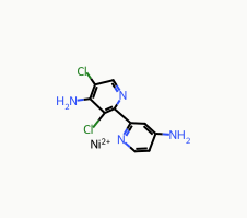 Nc1ccnc(-c2ncc(Cl)c(N)c2Cl)c1.[Ni+2]